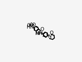 CS(=O)(=O)Nc1ccc(C(=O)Nc2ccc(N3CCCCC3=O)cc2)c(N)c1